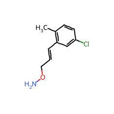 Cc1ccc(Cl)cc1/C=C/CON